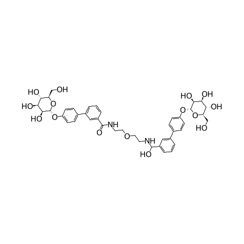 O=C(NCCOCCNC(O)c1cccc(-c2ccc(O[C@H]3O[C@H](CO)[C@@H](O)[C@H](O)[C@@H]3O)cc2)c1)c1cccc(-c2ccc(O[C@H]3O[C@H](CO)[C@@H](O)[C@H](O)[C@@H]3O)cc2)c1